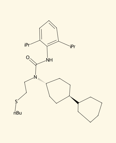 CCCCSCCN(C(=O)Nc1c(C(C)C)cccc1C(C)C)[C@H]1CC[C@H](C2CCCCC2)CC1